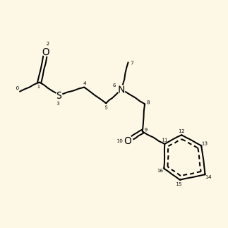 CC(=O)SCCN(C)CC(=O)c1ccccc1